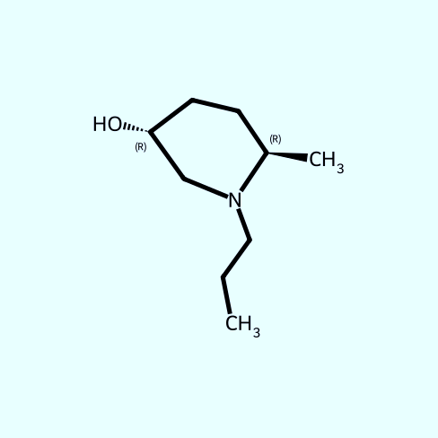 CCCN1C[C@H](O)CC[C@H]1C